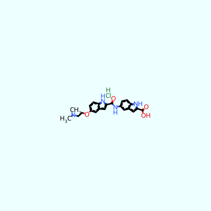 CN(C)CCOc1ccc2[nH]c(C(=O)Nc3ccc4[nH]c(C(=O)O)cc4c3)cc2c1.Cl